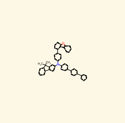 CC1(C)c2ccccc2-c2ccc(N(c3ccc(-c4ccc(-c5ccccc5)cc4)cc3)c3ccc(-c4cccc5oc6ccccc6c45)cc3)cc21